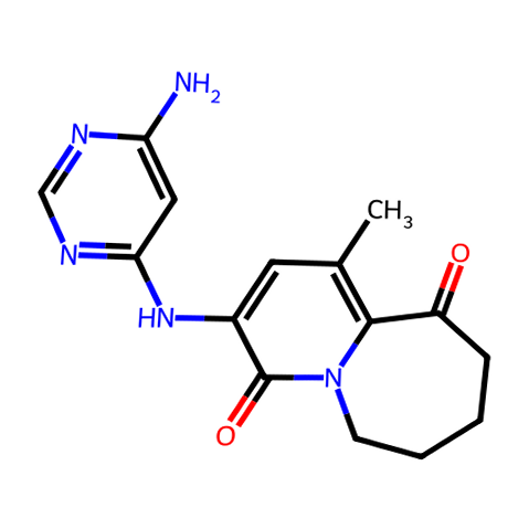 Cc1cc(Nc2cc(N)ncn2)c(=O)n2c1C(=O)CCCC2